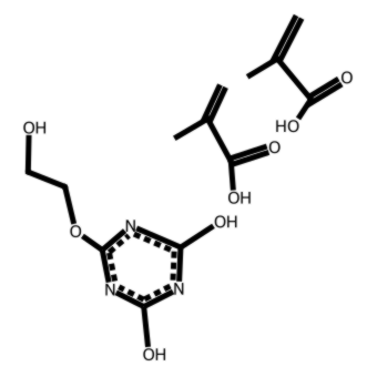 C=C(C)C(=O)O.C=C(C)C(=O)O.OCCOc1nc(O)nc(O)n1